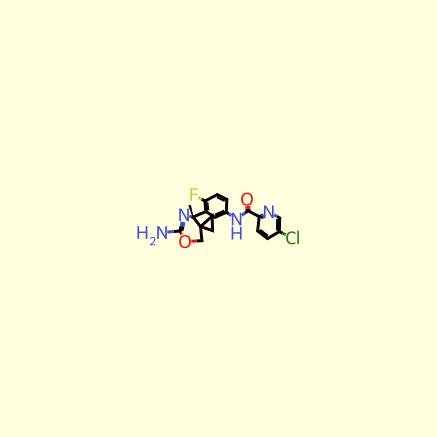 C[C@]1(c2cc(NC(=O)c3ccc(Cl)cn3)ccc2F)N=C(N)OCC12CC2